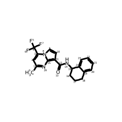 Cc1cc(C(F)(F)F)n2ccc(C(=O)NC3CCCc4ccccc43)c2n1